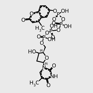 Cc1cn([C@H]2CC(O)[C@@H](COP(=O)(O)OP(=O)(O)OP(=O)(O)OP(=O)(O)Oc3ccc4oc(=O)cc(C)c4c3)O2)c(=O)[nH]c1=O